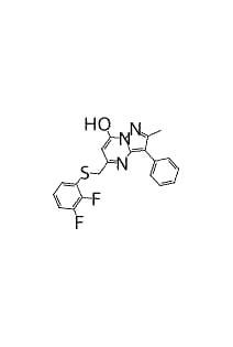 Cc1nn2c(O)cc(CSc3cccc(F)c3F)nc2c1-c1ccccc1